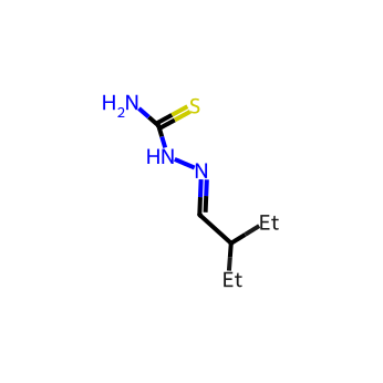 CCC(/C=N/NC(N)=S)CC